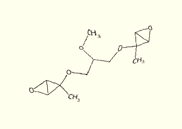 COC(COC1(C)C2OC21)COC1(C)C2OC21